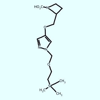 C[Si](C)(C)CCOCn1cc(OCC2CCN2C(=O)O)cn1